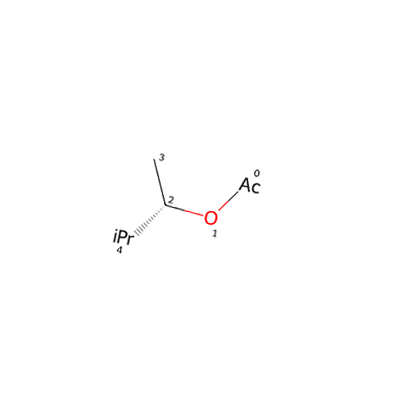 CC(=O)O[C@@H](C)C(C)C